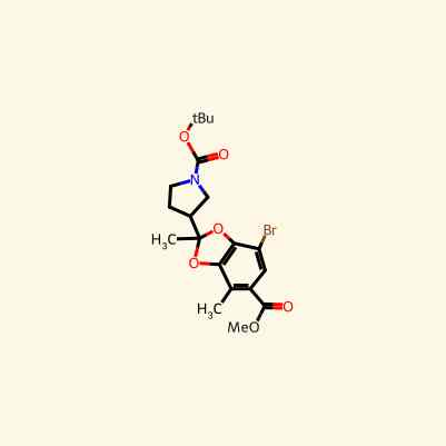 COC(=O)c1cc(Br)c2c(c1C)OC(C)(C1CCN(C(=O)OC(C)(C)C)C1)O2